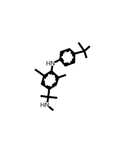 CNC(C)(C)c1cc(C)c(Nc2ccc(C(C)(C)C)cc2)c(C)c1